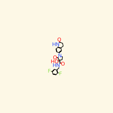 O=C1CCc2cc(N3CC[C@](O)(C(=O)NCc4cc(F)ccc4F)C3=O)ccc2N1